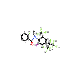 CN(C(=O)c1ccccc1F)c1c(I)cc(C(F)(C(F)(F)F)C(F)(F)F)cc1C(F)(F)F